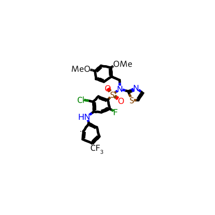 COc1ccc(CN(c2nccs2)S(=O)(=O)c2cc(Cl)c(Nc3[c]cc(C(F)(F)F)cc3)cc2F)c(OC)c1